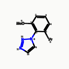 COc1cccc(C(C)C)c1-n1ccnn1